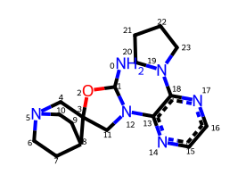 NC1OC2(CN3CCC2CC3)CN1c1nccnc1N1CCCC1